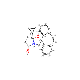 O=C1CCC2(C3CC3)OC3(CN12)c1ccccc1C=Cc1ccccc13